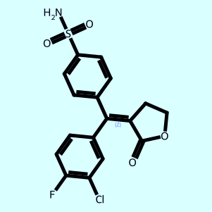 NS(=O)(=O)c1ccc(/C(=C2\CCOC2=O)c2ccc(F)c(Cl)c2)cc1